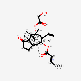 C=C[C@]1(C)C[C@@H](OC(=O)CO)[C@]2(C)[C@H](C)CC[C@]3(CCC(=O)[C@@H]32)[C@@H](C)[C@@H]1OC(=O)/C=C/C(=O)O